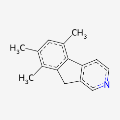 Cc1cc(C)c2c(c1C)Cc1cnccc1-2